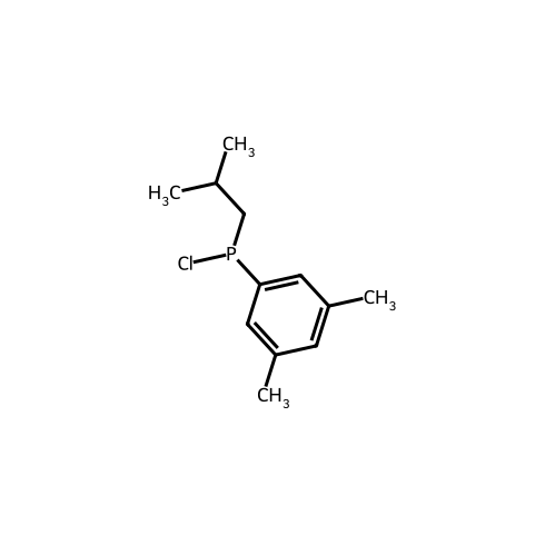 Cc1cc(C)cc(P(Cl)CC(C)C)c1